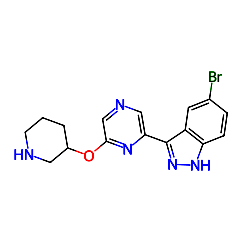 Brc1ccc2[nH]nc(-c3cncc(OC4CCCNC4)n3)c2c1